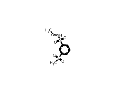 CONS(=O)(=O)c1cccc(S(C)(=O)=O)c1